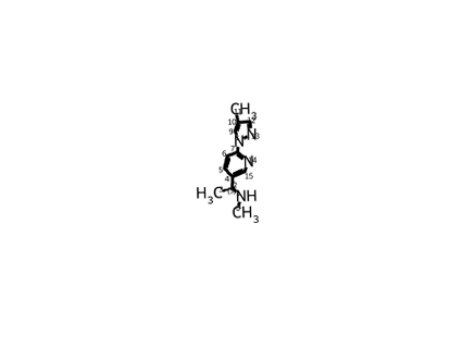 CN[C@@H](C)c1ccc(-n2cc(C)cn2)nc1